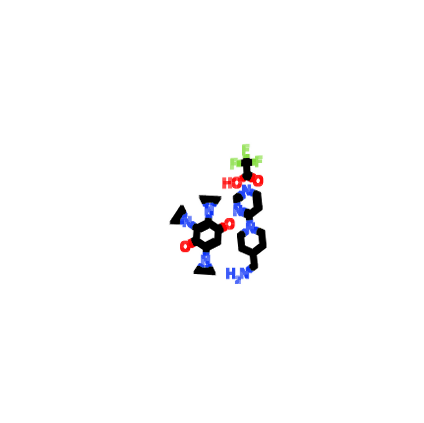 NCC1CCN(c2ccncn2)CC1.O=C(O)C(F)(F)F.O=C1C=C(N2CC2)C(=O)C(N2CC2)=C1N1CC1